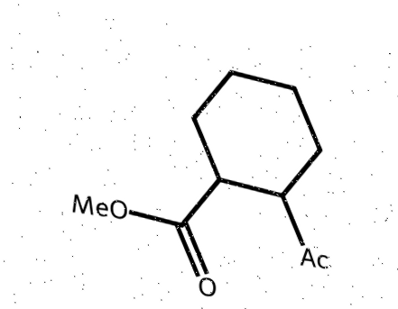 COC(=O)C1CCCCC1C(C)=O